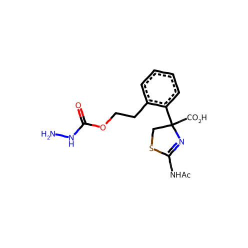 CC(=O)NC1=NC(C(=O)O)(c2ccccc2CCOC(=O)NN)CS1